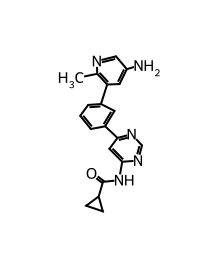 Cc1ncc(N)cc1-c1cccc(-c2cc(NC(=O)C3CC3)ncn2)c1